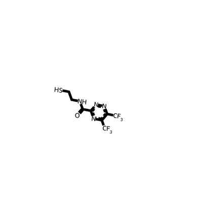 O=C(NCCS)c1nnc(C(F)(F)F)c(C(F)(F)F)n1